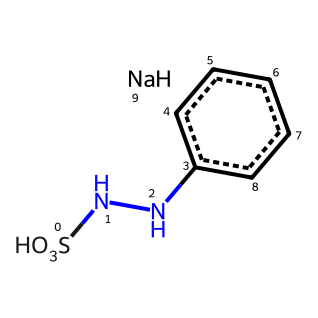 O=S(=O)(O)NNc1ccccc1.[NaH]